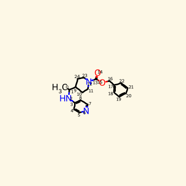 CC(Nc1ccncc1)C1CCN(C(=O)OCc2ccccc2)CC1